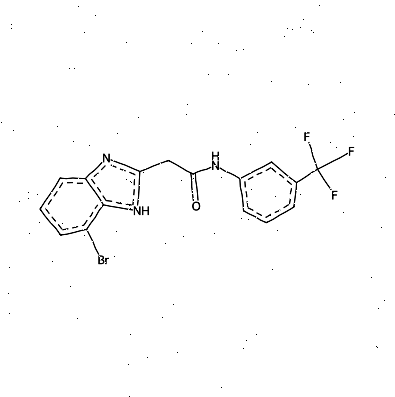 O=C(Cc1nc2cccc(Br)c2[nH]1)Nc1cccc(C(F)(F)F)c1